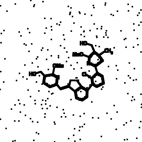 COc1nc(C=C2CCc3c2cccc3-c2cccc(-c3cc(C)c(CO)c(OC)n3)c2Cl)ccc1CO